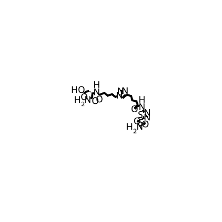 NC(=O)[C@H](CC(=O)O)NC(=O)CCCCn1cc(CCCC(=O)Nc2nnc(S(N)(=O)=O)s2)nn1